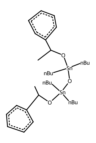 CCC[CH2][Sn]([CH2]CCC)([O]C(C)c1ccccc1)[O][Sn]([CH2]CCC)([CH2]CCC)[O]C(C)c1ccccc1